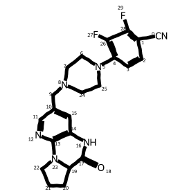 N#Cc1ccc(N2CCN(Cc3cnc4c(c3)NC(=O)C3CCCN43)CC2)c(F)c1F